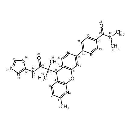 Cc1ccc2c(n1)Oc1nc(-c3ccc(C(=O)N(C)C)cc3)ccc1C2C(C)(C)C(=O)Nc1nncs1